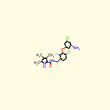 Cc1[nH]c(C(=O)NCc2ccc(Cl)c(Oc3cc(N)cc(Cl)c3)c2F)c(C)c1C